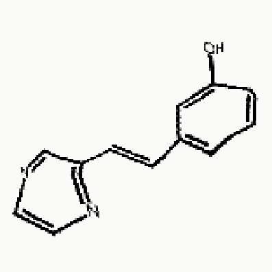 Oc1cccc(C=Cc2cnccn2)c1